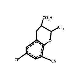 N#Cc1cc(Cl)cc2c1OC(C(F)(F)F)C(C(=O)O)C2